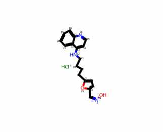 Cl.O/N=C\c1ccc(CCCCNc2ccnc3ccccc23)o1